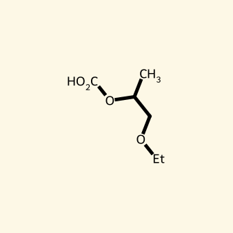 CCOCC(C)OC(=O)O